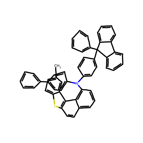 Cc1ccc2sc3ccc4cccc(N(c5ccc(-c6ccccc6)cc5)c5ccc(C6(c7ccccc7)c7ccccc7-c7ccccc76)cc5)c4c3c2c1